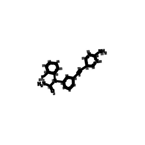 NC(=O)N(c1cccc(C#Cc2cnc(N)nc2)c1)c1ccccc1F